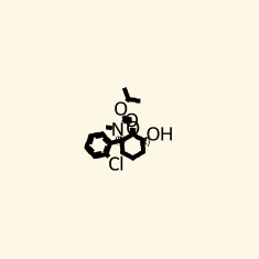 CC(C)OC(=O)N(C)[C@@]1(c2ccccc2Cl)CCC[C@@H](O)C1=O